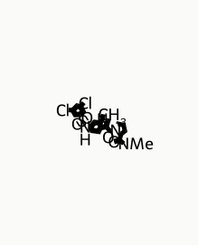 CNC(=O)C1CCCN1C(=O)c1cn(C)c2cc(NS(=O)(=O)c3cc(Cl)cc(Cl)c3)ccc12